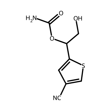 N#Cc1csc(C(CO)OC(N)=O)c1